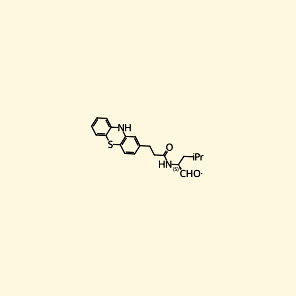 CC(C)C[C@@H]([C]=O)NC(=O)CCc1ccc2c(c1)Nc1ccccc1S2